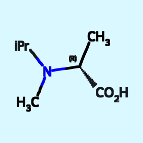 CC(C)N(C)[C@H](C)C(=O)O